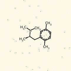 Cc1ccc(C)c(C[C@@H](C)N(C)C)c1